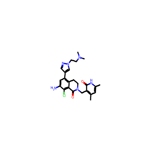 Cc1cc(C)c(CN2CCc3c(-c4cnn(CCN(C)C)c4)cc(N)c(Cl)c3C2=O)c(=O)[nH]1